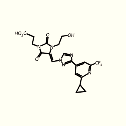 O=C(O)CCN1C(=O)C(=Cn2cnc(-c3cc(C4CC4)nc(C(F)(F)F)c3)n2)N(CCO)C1=O